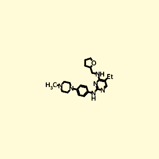 CCc1cnc(Nc2ccc(N3CCN(C)CC3)cc2)nc1NCC1CCCO1